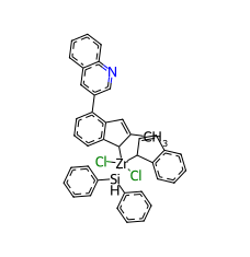 CC1=Cc2c(-c3cnc4ccccc4c3)cccc2[CH]1[Zr]([Cl])([Cl])([CH]1C=Cc2ccccc21)[SiH](c1ccccc1)c1ccccc1